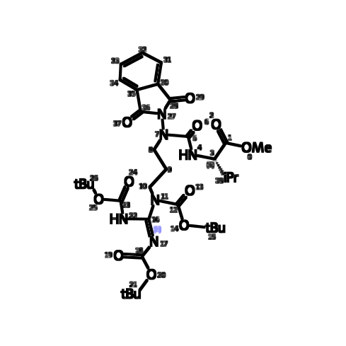 COC(=O)[C@@H](NC(=O)N(CCCN(C(=O)OC(C)(C)C)/C(=N/C(=O)OC(C)(C)C)NC(=O)OC(C)(C)C)N1C(=O)c2ccccc2C1=O)C(C)C